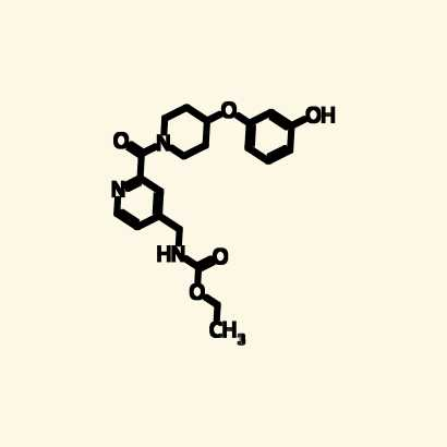 CCOC(=O)NCc1ccnc(C(=O)N2CCC(Oc3cccc(O)c3)CC2)c1